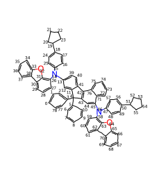 c1ccc(C2(c3ccccc3)c3cc(N(c4ccc(C5CCCC5)cc4)c4cccc5c4oc4ccccc45)ccc3-c3c2cc(N(c2ccc(C4CCCC4)cc2)c2cccc4c2oc2ccccc24)c2ccccc32)cc1